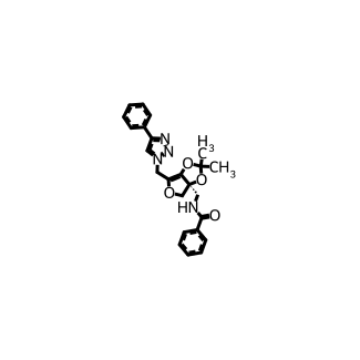 CC1(C)OC2=C(Cn3cc(-c4ccccc4)nn3)OC[C@]2(CNC(=O)c2ccccc2)O1